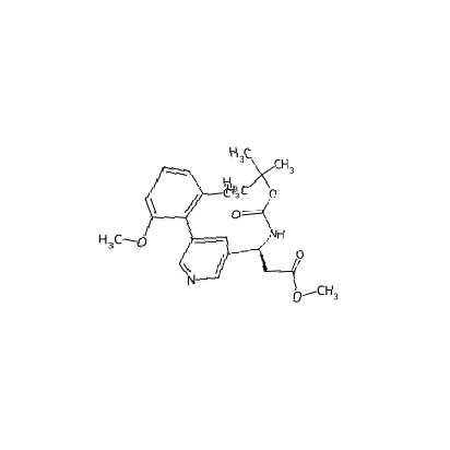 COC(=O)C[C@H](NC(=O)OC(C)(C)C)c1cncc(-c2c(C)cccc2OC)c1